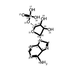 NC1=NC=NC2C1N=CN2[C@@H]1O[C@H](OP(=O)(O)O)C(O)C1O